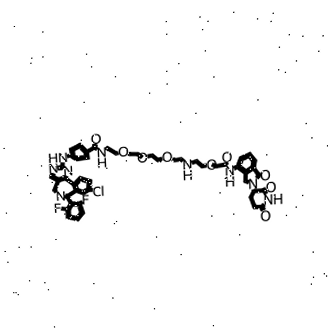 O=C1CCC(N2Cc3c(NC(=O)COCCNCCOCCOCCOCCNC(=O)c4ccc(Nc5ncc6c(n5)-c5ccc(Cl)cc5C(c5c(F)cccc5F)=NC6)cc4)cccc3C2=O)C(=O)N1